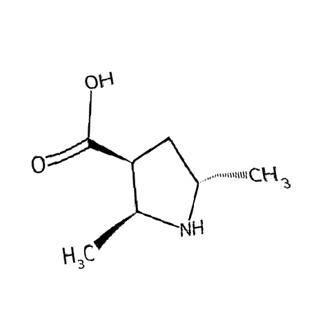 C[C@@H]1N[C@@H](C)C[C@@H]1C(=O)O